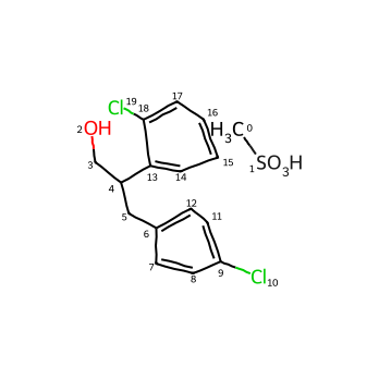 CS(=O)(=O)O.OCC(Cc1ccc(Cl)cc1)c1ccccc1Cl